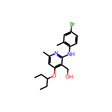 CCC(CC)Oc1cc(C)nc(Nc2ccc(Br)cc2C)c1CO